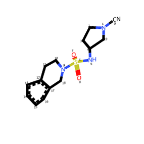 N#CN1CCC(NS(=O)(=O)N2CCc3ccccc3C2)C1